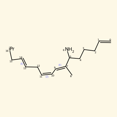 C=CCCCC(N)/C(C)=C/C=C\C/C=C/CC(C)C